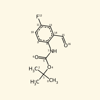 CC(C)(C)OC(=O)Nc1ccc(F)cc1C=O